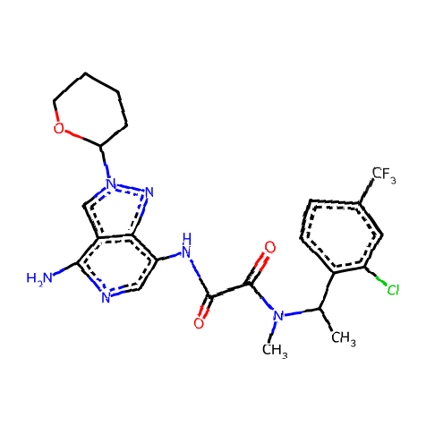 CC(c1ccc(C(F)(F)F)cc1Cl)N(C)C(=O)C(=O)Nc1cnc(N)c2cn(C3CCCCO3)nc12